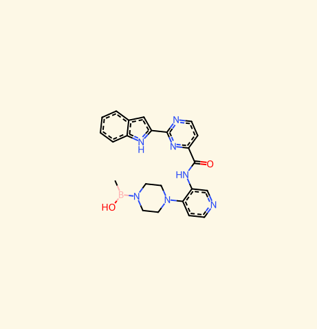 CB(O)N1CCN(c2ccncc2NC(=O)c2ccnc(-c3cc4ccccc4[nH]3)n2)CC1